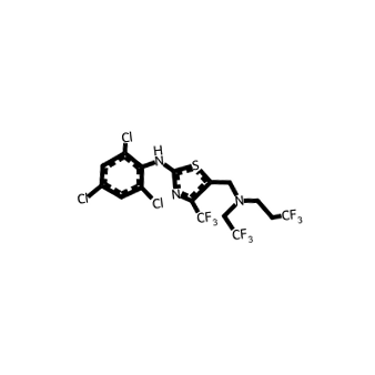 FC(F)(F)CCN(Cc1sc(Nc2c(Cl)cc(Cl)cc2Cl)nc1C(F)(F)F)CC(F)(F)F